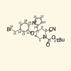 CC(C)(C)OC(=O)N1CCC2(CC1C#N)Oc1cc(CBr)ccc1-n1cccc12